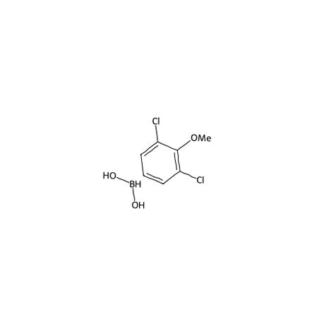 COc1c(Cl)cccc1Cl.OBO